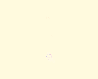 CCCCCCCCCCCCCCCCCCCC(=O)OCC1CCCC(OCC2OC(n3cnc(N)nc3=O)CC2O)O1